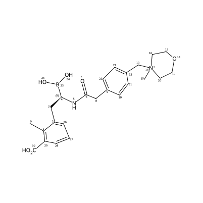 Cc1c(C[C@H](NC(=O)Cc2ccc(C[N+]3(C)CCOCC3)cc2)B(O)O)cccc1C(=O)O